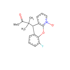 COC(=O)C(C)(C)C1c2cccc(F)c2Oc2c1ccc[n+]2[O-]